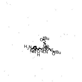 CC(C)(C)C(=O)SCCOP(=O)(OCCSC(=O)C(C)(C)C)OC[C@H](C[C@@H](O)c1ccc2c(N)ncnn12)OC#N